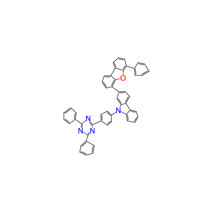 c1ccc(-c2nc(-c3ccccc3)nc(-c3ccc(-n4c5ccccc5c5ccc(-c6cccc7c6oc6c(-c8ccccc8)cccc67)cc54)cc3)n2)cc1